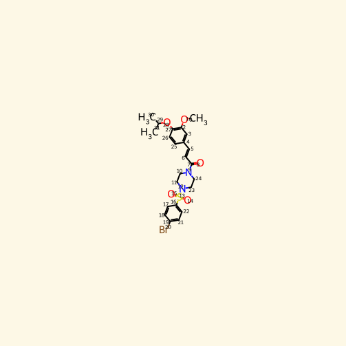 COc1cc(C=CC(=O)N2CCN(S(=O)(=O)c3ccc(Br)cc3)CC2)ccc1OC(C)C